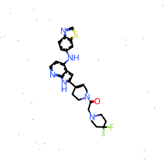 O=C(CN1CCC(F)(F)CC1)N1CC=C(c2cc3c(Nc4ccc5ncsc5c4)ccnc3[nH]2)CC1